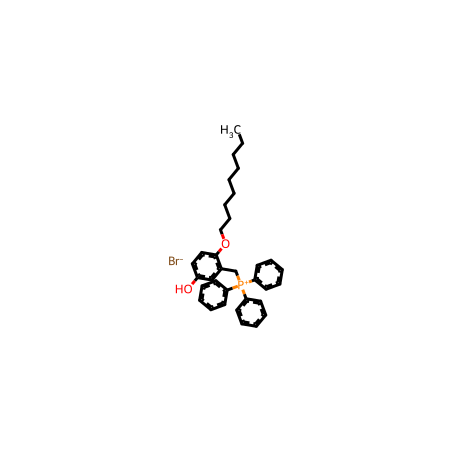 CCCCCCCCCOc1ccc(O)cc1C[P+](c1ccccc1)(c1ccccc1)c1ccccc1.[Br-]